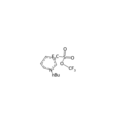 CCCC[n+]1ccccc1.O=S(=O)(OC(F)(F)F)C(F)(F)F